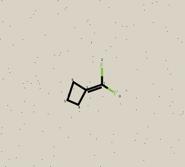 FC(F)=C1CCC1